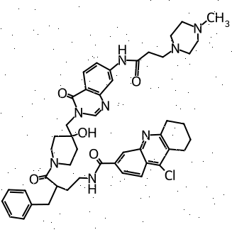 CN1CCN(CCC(=O)Nc2ccc3c(=O)n(CC4(O)CCN(C(=O)C(CCNC(=O)c5ccc6c(Cl)c7c(nc6c5)CCCC7)Cc5ccccc5)CC4)cnc3c2)CC1